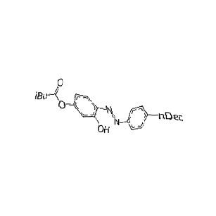 CCCCCCCCCCc1ccc(/N=N/c2ccc(OC(=O)C(C)CC)cc2O)cc1